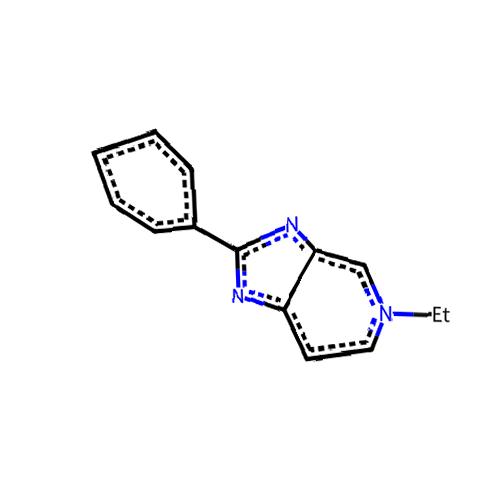 CCn1ccc2nc(-c3ccccc3)nc-2c1